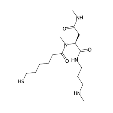 CNCCCNC(=O)[C@H](CC(=O)NC)N(C)C(=O)CCCCCS